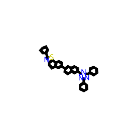 c1ccc(-c2nc(-c3ccccc3)nc(-c3ccc4cc(-c5ccc6c(ccc7nc(-c8ccccc8)sc76)c5)ccc4c3)n2)cc1